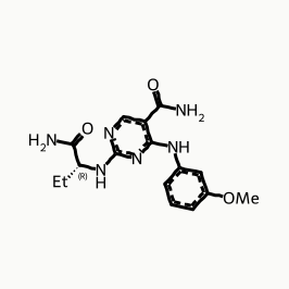 CC[C@@H](Nc1ncc(C(N)=O)c(Nc2cccc(OC)c2)n1)C(N)=O